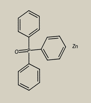 O=P(c1ccccc1)(c1ccccc1)c1ccccc1.[Zn]